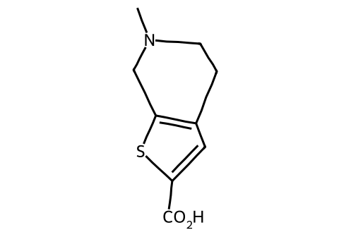 CN1CCc2cc(C(=O)O)sc2C1